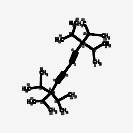 C[CH](C)[Sn]([C]#CC#[C][Sn]([CH](C)C)([CH](C)C)[CH](C)C)([CH](C)C)[CH](C)C